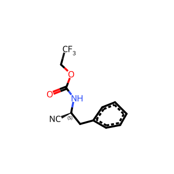 N#C[C@H](Cc1ccccc1)NC(=O)OCC(F)(F)F